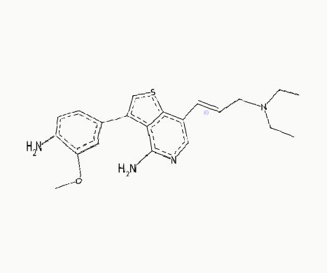 CCN(CC)C/C=C/c1cnc(N)c2c(-c3ccc(N)c(OC)c3)csc12